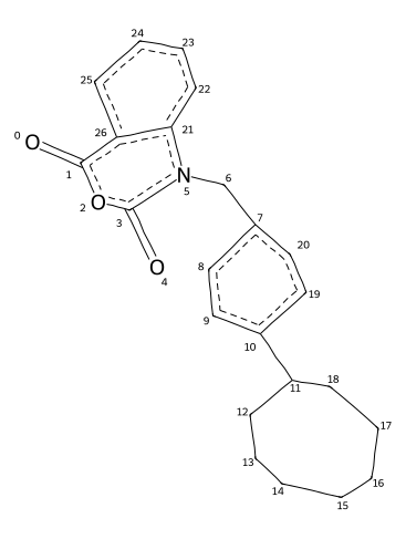 O=c1oc(=O)n(Cc2ccc(C3CCCCCCC3)cc2)c2ccccc12